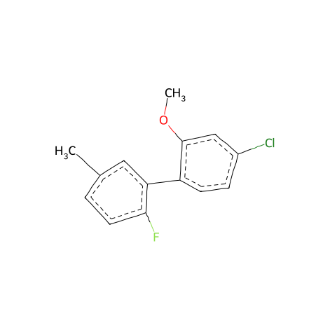 COc1cc(Cl)ccc1-c1cc(C)ccc1F